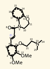 COc1ccc(/C=C/C(=O)N2CCOc3ccccc32)c(OCCN(C)C)c1OC